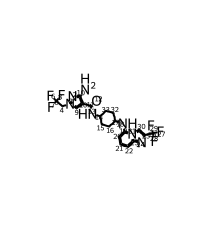 Nc1nn(CC(F)(F)F)cc1C(=O)NC1CCC(Nc2cccc3nc(C(F)(F)F)cn23)CC1